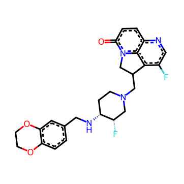 O=c1ccc2ncc(F)c3c2n1CC3CN1CC[C@@H](NCc2ccc3c(c2)OCCO3)[C@@H](F)C1